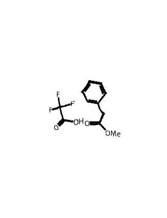 COC(=O)Cc1ccccc1.O=C(O)C(F)(F)F